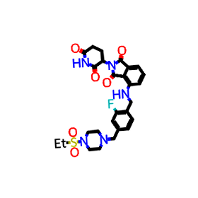 CCS(=O)(=O)N1CCN(Cc2ccc(CNc3cccc4c3C(=O)N(C3CCC(=O)NC3=O)C4=O)c(F)c2)CC1